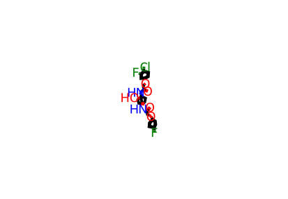 O=C(COc1ccc(F)cc1)NC12CCC(NC(=O)COc3ccc(Cl)c(F)c3)(CC1)C(O)C2